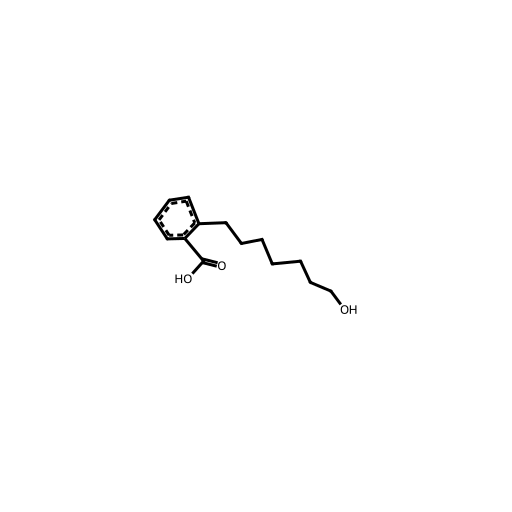 O=C(O)c1ccccc1CCCCCCCO